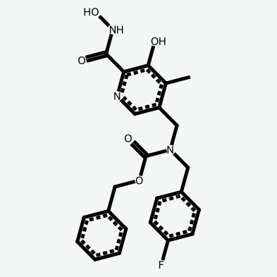 Cc1c(CN(Cc2ccc(F)cc2)C(=O)OCc2ccccc2)cnc(C(=O)NO)c1O